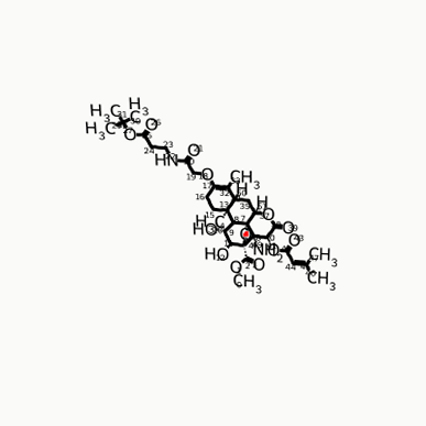 COC(=O)[C@@]12OC[C@]34C([C@@H](O)[C@@H]1O)[C@@]1(C)CCC(OCC(=O)NCCC(=O)OC(C)(C)C)=C(C)[C@@H]1C[C@H]3OC(=O)[C@H](OC(=O)C=C(C)C)[C@@]24N